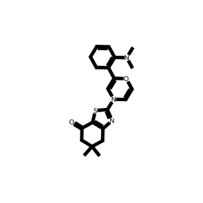 CN(C)C1=C(C2=CN(c3nc4c(s3)C(=O)CC(C)(C)C4)C=CO2)CCC=C1